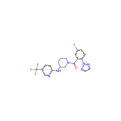 O=C(c1cc(F)ccc1-n1nccn1)N1CCCC(Nc2ccc(C(F)(F)F)cn2)C1